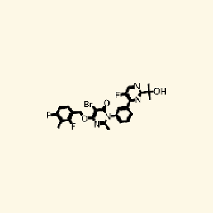 Cc1c(F)ccc(COc2nc(C)n(-c3cccc(-c4nc(C(C)(C)O)ncc4F)c3)c(=O)c2Br)c1F